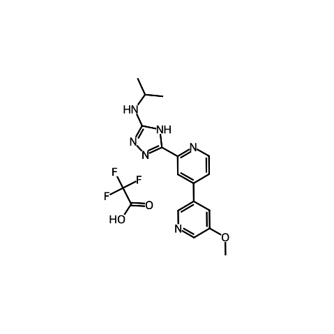 COc1cncc(-c2ccnc(-c3nnc(NC(C)C)[nH]3)c2)c1.O=C(O)C(F)(F)F